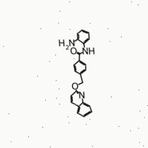 Nc1ccccc1NC(=O)c1ccc(COc2ccc3ccccc3n2)cc1